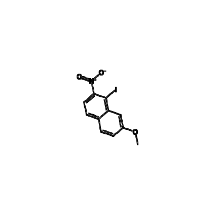 COc1ccc2ccc([N+](=O)[O-])c(I)c2c1